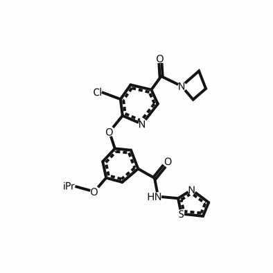 CC(C)Oc1cc(Oc2ncc(C(=O)N3CCC3)cc2Cl)cc(C(=O)Nc2nccs2)c1